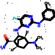 Cc1cccc(Nc2ncc(F)c(N[C@H]3[C@@H](C(N)=O)[C@@H]4CC(N(C)C)[C@H]3C4)n2)c1